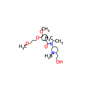 BN1CC(N(C(=O)c2ccc(OC)c(OCCCOC)c2)C(C)C)CCC1CCO